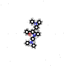 c1ccc(N(c2ccccc2)c2ccc(-n3c4ccccc4c4c(-c5ccc6c7ccccc7n(-c7ccccc7)c6c5)cc5c6ccccc6oc5c43)cc2)cc1